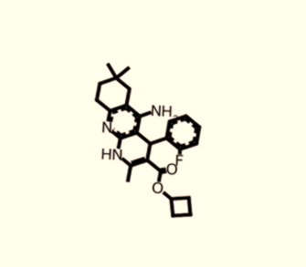 CC1=C(C(=O)OC2CCC2)C(c2ccccc2F)c2c(nc3c(c2N)CC(C)(C)CC3)N1